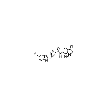 O=C(NC1CCc2c(Cl)ccn3cnc1c23)c1cn(Cc2cn3cc(C4CC4)ccc3n2)nn1